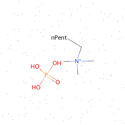 CCCCCC[N+](C)(C)C.O=P(O)(O)O